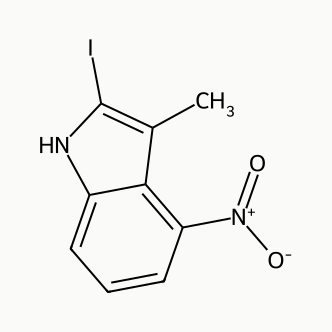 Cc1c(I)[nH]c2cccc([N+](=O)[O-])c12